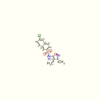 Cc1noc(NS(=O)(=O)c2ccc3cc(Cl)ccc3c2)c1C